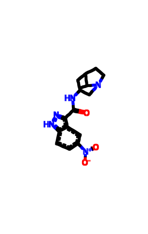 CC1C2CCN1CC(NC(=O)c1n[nH]c3ccc([N+](=O)[O-])cc13)C2